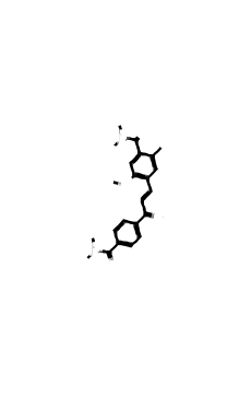 COc1cc(C(=O)N(C)C)c(C)cc1C=CC(=O)c1ccc(C(=O)N(C)C)cc1